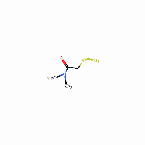 CON(C)C(=O)CSS